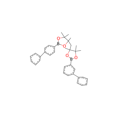 CC1(C)OB(c2ccc(-c3ccccc3)cc2)OC1(C)CC1(C)OB(c2cccc(-c3ccccc3)c2)OC1(C)C